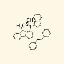 C[Si](C)=[Ti]([c]1cccc2c1Cc1ccccc1-2)[CH]1C=Cc2ccccc21.c1ccc(CCc2ccccc2)cc1